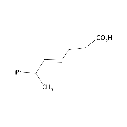 CC(C)C(C)C=CCCC(=O)O